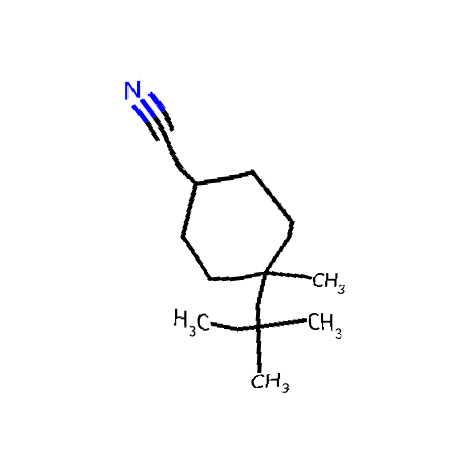 CC(C)(C)C1(C)CCC(C#N)CC1